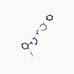 CC(=O)NCCNc1ccccc1-c1nccc(NC(=O)CN2CCCC(Oc3ccccc3)C2)n1